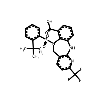 CC(C)(C)c1ccccc1S(=O)(=O)N1Cc2ccc(C(F)(F)F)nc2Nc2cccc(C(=O)O)c21